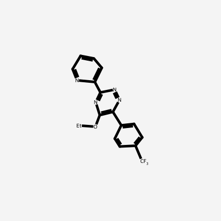 CCOc1nc(-c2ccccn2)nnc1-c1ccc(C(F)(F)F)cc1